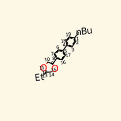 CCCCc1ccc(-c2ccc(C3COC(CC)CO3)cc2)cc1